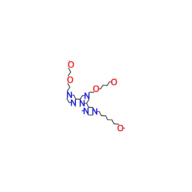 COCCCCCCCN1CCN(C)C(C2CN(CCOCCCCOC)CC(C3CN(CCCOCCCOC)CCN3C)N2C)C1